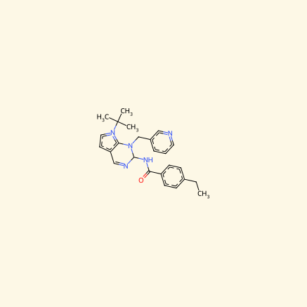 CCc1ccc(C(=O)NC2N=Cc3ccn(C(C)(C)C)c3N2Cc2cccnc2)cc1